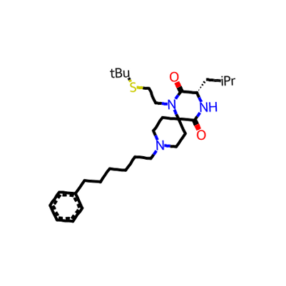 CC(C)C[C@@H]1NC(=O)C2(CCN(CCCCCCc3ccccc3)CC2)N(CCSC(C)(C)C)C1=O